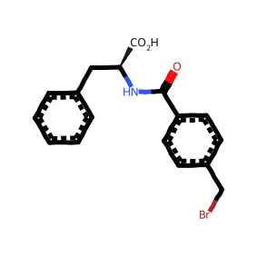 O=C(N[C@@H](Cc1ccccc1)C(=O)O)c1ccc(CBr)cc1